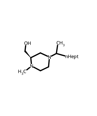 CCCCCCCC(C)N1CCN(C)[C@@H](CO)C1